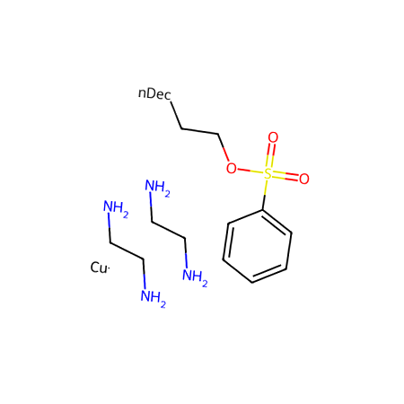 CCCCCCCCCCCCOS(=O)(=O)c1ccccc1.NCCN.NCCN.[Cu]